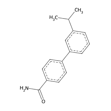 CC(C)c1cccc(-c2ccc(C(N)=O)cc2)c1